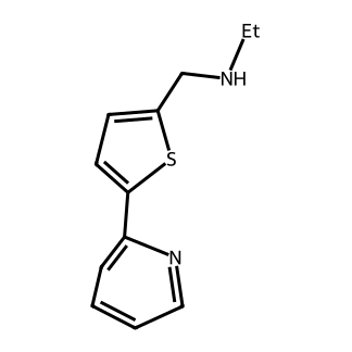 CCNCc1ccc(-c2ccccn2)s1